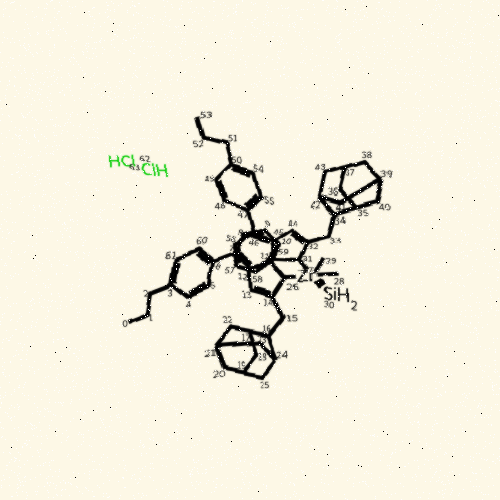 CCCc1ccc(-c2cccc3c2C=C(CC2C4CC5CC(C4)CC2C5)[CH]3[Zr]([CH3])([CH3])(=[SiH2])[CH]2C(CC3C4CC5CC(C4)CC3C5)=Cc3c(-c4ccc(CCC)cc4)cccc32)cc1.Cl.Cl